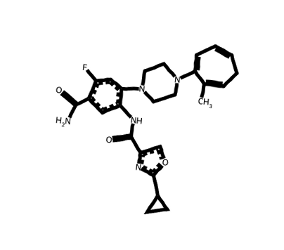 CC1=CCC=CC=C1N1CCN(c2cc(F)c(C(N)=O)cc2NC(=O)c2coc(C3CC3)n2)CC1